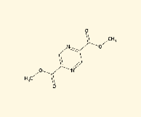 COC(=O)c1cnc(C(=O)OC)cn1